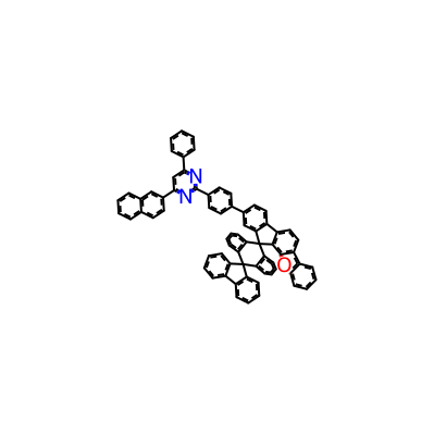 c1ccc(-c2cc(-c3ccc4ccccc4c3)nc(-c3ccc(-c4ccc5c(c4)C4(c6ccccc6C6(c7ccccc7-c7ccccc76)c6ccccc64)c4c-5ccc5c4oc4ccccc45)cc3)n2)cc1